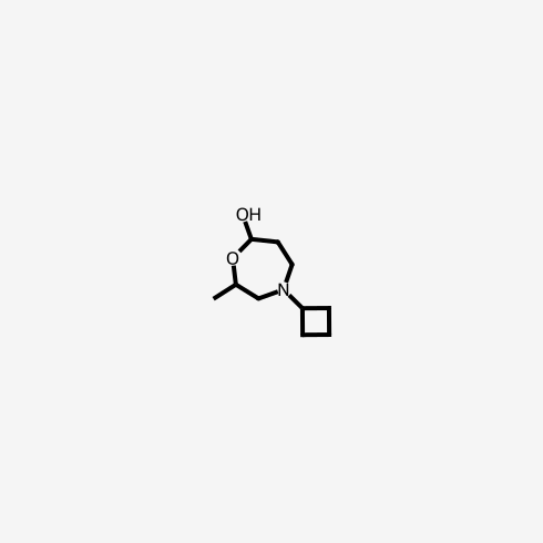 CC1CN(C2CCC2)CCC(O)O1